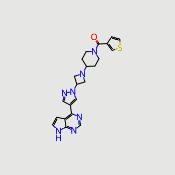 O=C(c1ccsc1)N1CCC(N2CC(n3cc(-c4ncnc5[nH]ccc45)cn3)C2)CC1